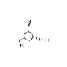 F.F.F.F.F.N#Cc1cccc([S])c1